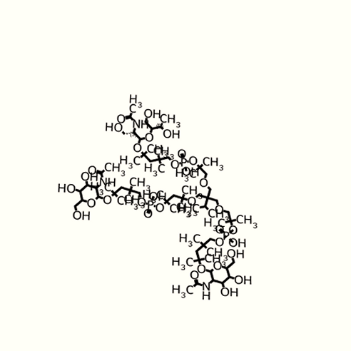 CC(=O)NC1C(OC(C)(C)CC(C)(C)COP(=O)(O)OC(C)(C)COCC(COCC(C)(C)OP(=O)(O)OCC(C)(C)CC(C)(C)OC(OC(CO)[C@@H](C)O)[C@H](CO)NC(C)=O)(COC(C)(C)CC(C)(C)OP(=O)(O)OCC(C)(C)CC(C)(C)OC2OC(CO)C(O)C(O)C2NC(C)=O)C(C)C)OC(CO)C(O)C1O